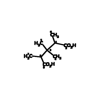 CC(C(=O)O)C(C)(C)C(C)C(=O)O